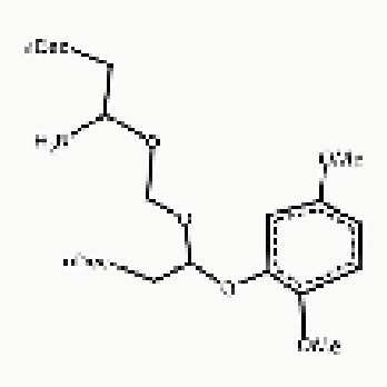 CCCCCCCCCCCC(N)OCOC(CCCCCCCCCCC)Oc1cc(OC)ccc1OC